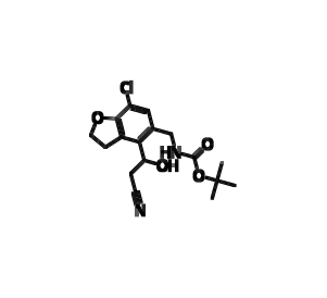 CC(C)(C)OC(=O)NCc1cc(Cl)c2c(c1C(O)CC#N)CCO2